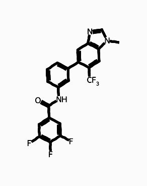 Cn1cnc2cc(-c3cccc(NC(=O)c4cc(F)c(F)c(F)c4)c3)c(C(F)(F)F)cc21